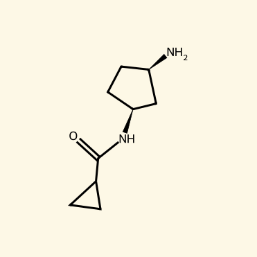 N[C@@H]1CC[C@H](NC(=O)C2CC2)C1